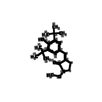 CON1CCC(=Cc2nc(C(C)(C)C)c(O)c(C(C)(C)C)n2)C1=O